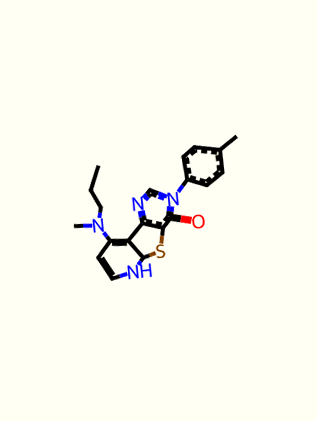 CCCN(C)C1=C2c3ncn(-c4ccc(C)cc4)c(=O)c3SC2NC=C1